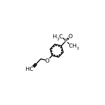 C#CCOc1ccc(P(C)(C)=O)cc1